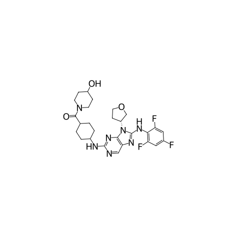 O=C(C1CCC(Nc2ncc3nc(Nc4c(F)cc(F)cc4F)n([C@@H]4CCOC4)c3n2)CC1)N1CCC(O)CC1